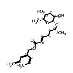 C=C/C=C(\C=C/C)COC(=O)/C=C/CC[C@@H](C)O[C@@H]1O[C@@H](C)[C@H](O)C[C@H]1O